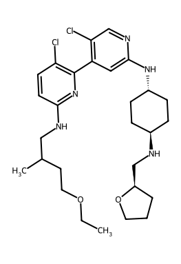 CCOCCC(C)CNc1ccc(Cl)c(-c2cc(N[C@H]3CC[C@H](NC[C@H]4CCCO4)CC3)ncc2Cl)n1